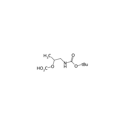 CC(CNC(=O)OC(C)(C)C)OC(=O)O